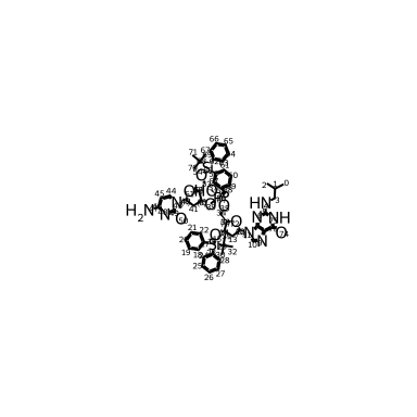 CC(C)CNc1nc2c(ncn2[C@H]2C[C@H](O[Si](c3ccccc3)(c3ccccc3)C(C)(C)C)[C@@H](CO[P@@](O)(=S)O[C@H]3C[C@H](n4ccc(N)nc4=O)O[C@@H]3CO[Si](c3ccccc3)(c3ccccc3)C(C)(C)C)O2)c(=O)[nH]1